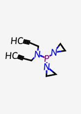 C#CCN(CC#C)P(N1CC1)N1CC1